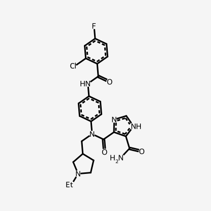 CCN1CCC(CN(C(=O)c2nc[nH]c2C(N)=O)c2ccc(NC(=O)c3ccc(F)cc3Cl)cc2)C1